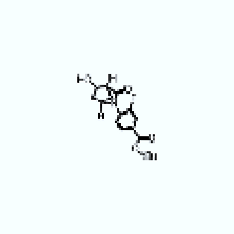 CC(C)(C)OC(=O)c1ccc(N2C(=O)[C@@H]3C[C@H]2C[C@H]3O)c(F)c1